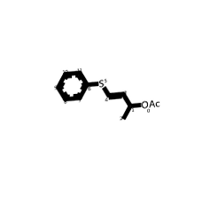 CC(=O)OC(C)C=CSc1ccccc1